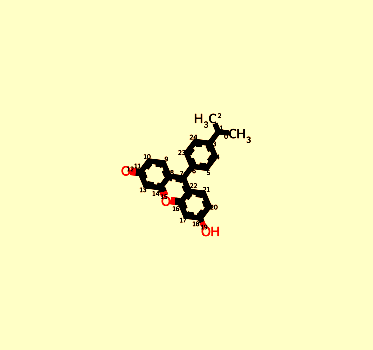 CC(C)c1ccc(-c2c3ccc(=O)cc-3oc3cc(O)ccc23)cc1